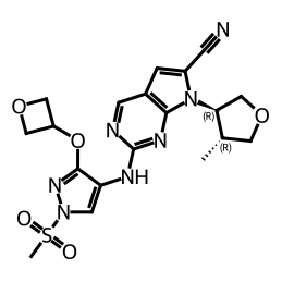 C[C@H]1COC[C@@H]1n1c(C#N)cc2cnc(Nc3cn(S(C)(=O)=O)nc3OC3COC3)nc21